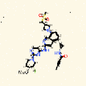 CC#CC(=O)N[C@H]1C[C@H]1c1ccc(N2CC(CS(C)(=O)=O)C2)c2cnc(Nc3ccnc(N4CC[C@@H](OC)[C@@H](F)C4)n3)cc12